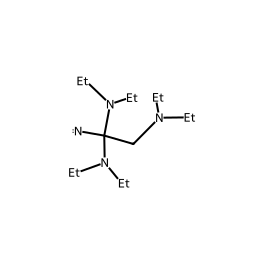 CCN(CC)CC([N])(N(CC)CC)N(CC)CC